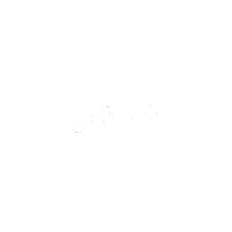 C[Si](C)(C)CCOCn1cc(C(=O)O)c2nc(-c3nccs3)cnc21